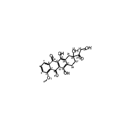 COc1cccc2c1C(=O)c1c(O)c3c(c(O)c1C2=O)CC(O)(C(=O)CO)CC3